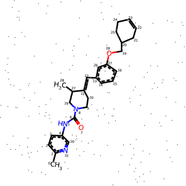 Cc1ccc(NC(=O)N2CCC(=Cc3cccc(OCC4CC=CCC4)c3)C(C)C2)cn1